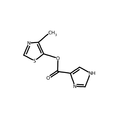 Cc1ncsc1OC(=O)c1c[nH]cn1